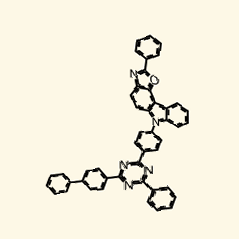 c1ccc(-c2ccc(-c3nc(-c4ccccc4)nc(-c4ccc(-n5c6ccccc6c6c7oc(-c8ccccc8)nc7ccc65)cc4)n3)cc2)cc1